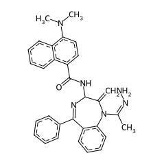 C=C1C(NC(=O)c2ccc(N(C)C)c3ccccc23)N=C(c2ccccc2)c2ccccc2N1/C(C)=N\N